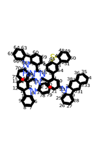 c1ccc(-n2c3ccccc3c3cccc(C4=NC(c5ccc(-n6c7ccccc7c7cc8ccccc8cc76)cc5-c5ccc6sc7ccccc7c6c5)=NC(c5cccc6c7ccccc7n(-c7ccccc7)c56)N4)c32)cc1